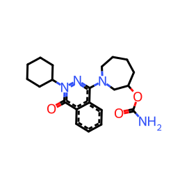 NC(=O)OC1CCCCN(c2nn(C3CCCCC3)c(=O)c3ccccc23)C1